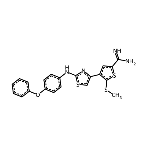 CSc1sc(C(=N)N)cc1-c1csc(Nc2ccc(Oc3ccccc3)cc2)n1